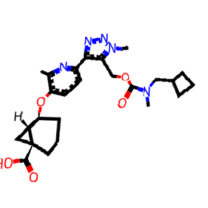 Cc1nc(-c2nnn(C)c2COC(=O)N(C)CC2CCC2)ccc1O[C@H]1CCC[C@]2(C(=O)O)C[C@H]12